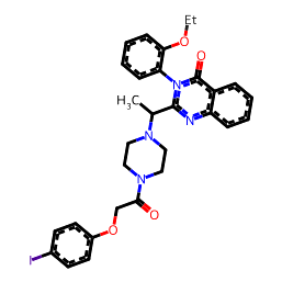 CCOc1ccccc1-n1c(C(C)N2CCN(C(=O)COc3ccc(I)cc3)CC2)nc2ccccc2c1=O